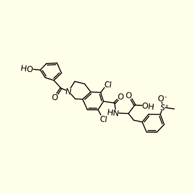 C[S+]([O-])c1cccc(CC(NC(=O)c2c(Cl)cc3c(c2Cl)CCN(C(=O)c2cccc(O)c2)C3)C(=O)O)c1